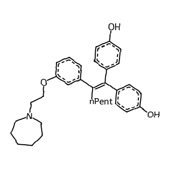 CCCCCC(=C(c1ccc(O)cc1)c1ccc(O)cc1)c1cccc(OCCN2CCCCCC2)c1